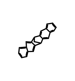 c1ccc2cc3c(cc2c1)C1CC3c2cc3ccccc3cc21